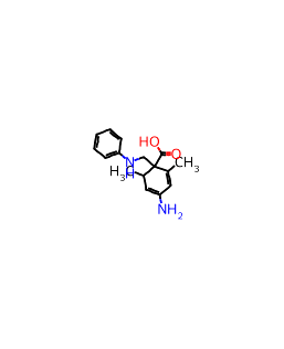 CC1=CC(N)=CC(C)C1(CNc1ccccc1)C(=O)O